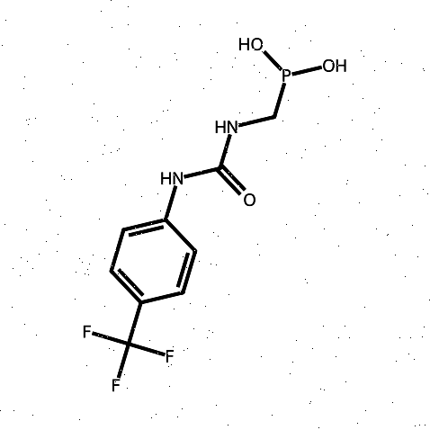 O=C(NCP(O)O)Nc1ccc(C(F)(F)F)cc1